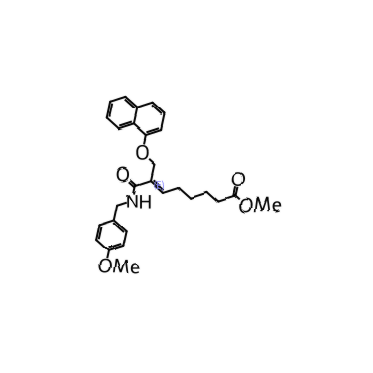 COC(=O)CCCC/C=C(\COc1cccc2ccccc12)C(=O)NCc1ccc(OC)cc1